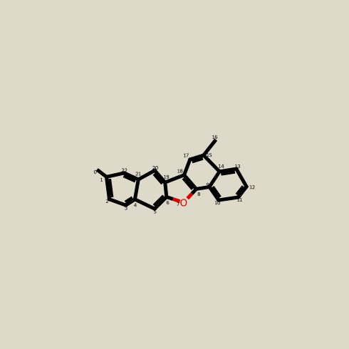 Cc1ccc2cc3oc4c5ccccc5c(C)cc4c3cc2c1